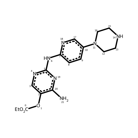 CCOC(=O)Oc1cnc(Nc2ccc(N3CCNCC3)cn2)nc1N